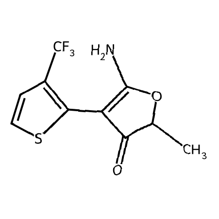 CC1OC(N)=C(c2sccc2C(F)(F)F)C1=O